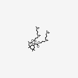 CN(C)CCCN(C)CCCOC(=O)NC1CC(C)(C)CC(C)(CN(C)C(=O)OCCCN(C)CCCN(C)C)C1